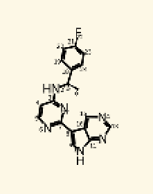 C[C@@H](Nc1ccnc(-c2c[nH]c3ncncc23)n1)c1ccc(F)cc1